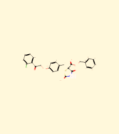 O=C1NC(=O)[C@](Cc2ccc(OCC(=O)c3ccccc3Cl)cc2)(C(=O)OCc2ccccc2)S1